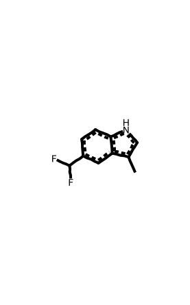 Cc1c[nH]c2ccc(C(F)F)cc12